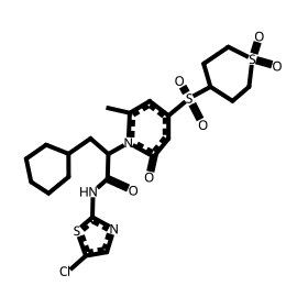 Cc1cc(S(=O)(=O)C2CCS(=O)(=O)CC2)cc(=O)n1C(CC1CCCCC1)C(=O)Nc1ncc(Cl)s1